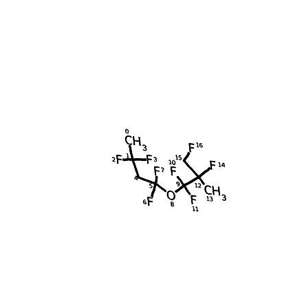 CC(F)(F)CC(F)(F)OC(F)(F)C(C)(F)CF